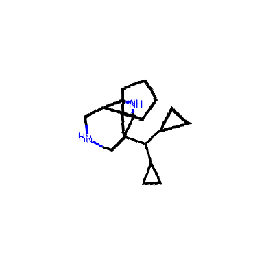 C1CCC2(C1)C1CNCC2(C(C2CC2)C2CC2)CNC1